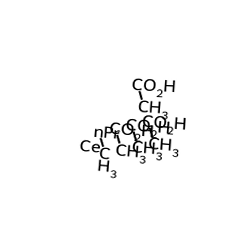 CC(=O)O.CC(=O)O.CC(=O)O.CC(=O)O.CCCC.[Ce]